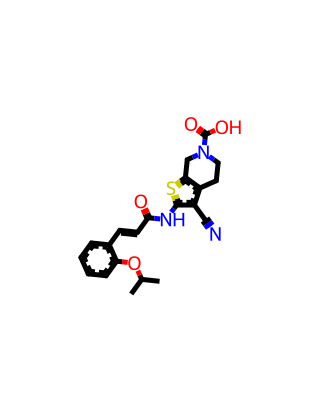 CC(C)Oc1ccccc1C=CC(=O)Nc1sc2c(c1C#N)CCN(C(=O)O)C2